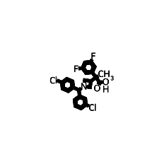 CC(C(=O)O)(c1cc(F)cc(F)c1)C1CN(C(c2ccc(Cl)cc2)c2cccc(Cl)c2)C1